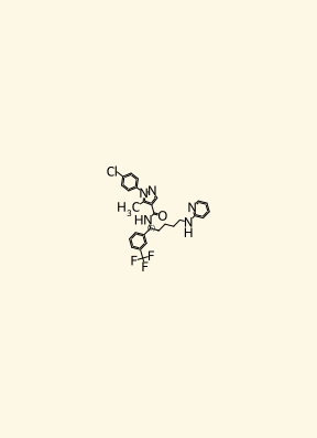 Cc1c(C(=O)N[C@@H](CCCCNc2ccccn2)c2cccc(C(F)(F)F)c2)cnn1-c1ccc(Cl)cc1